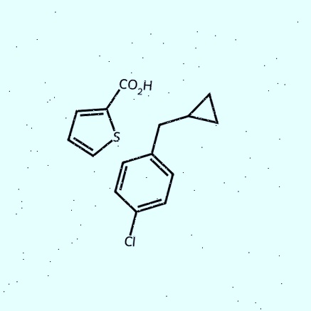 Clc1ccc(CC2CC2)cc1.O=C(O)c1cccs1